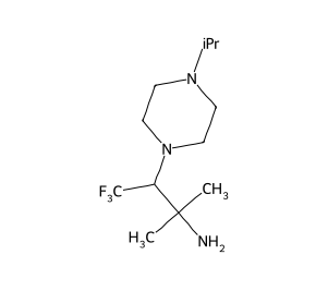 CC(C)N1CCN(C(C(C)(C)N)C(F)(F)F)CC1